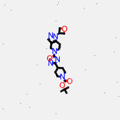 CC(C)(C)OC(=O)N1CCC(c2noc(N3CCc4c(cnn4C4COC4)C3)n2)CC1